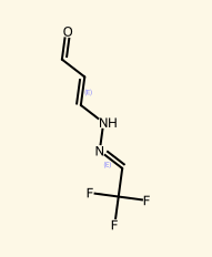 O=C/C=C/N/N=C/C(F)(F)F